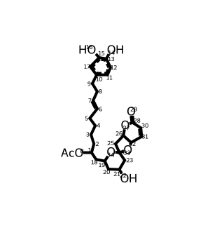 CC(=O)OC(CCCC/C=C/CCc1ccc(O)c(O)c1)CC1CC(O)CC2(CC3OC(=O)C=CC3O2)O1